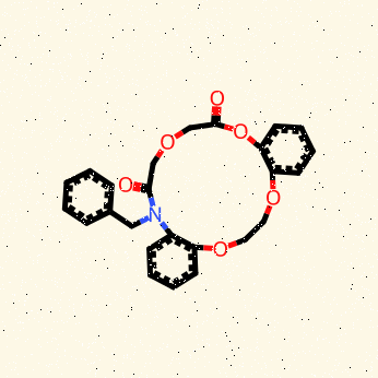 O=C1COCC(=O)N(Cc2ccccc2)c2ccccc2OCCOc2ccccc2O1